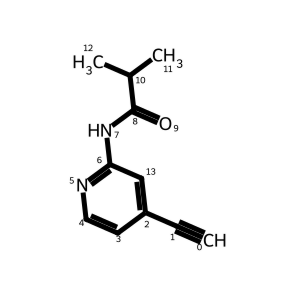 C#Cc1ccnc(NC(=O)C(C)C)c1